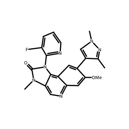 COc1cc2ncc3c(c2cc1-c1cn(C)nc1C)n(-c1ncccc1F)c(=O)n3C